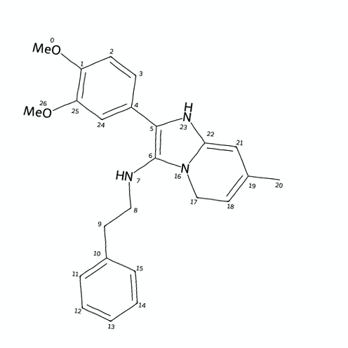 COc1ccc(C2=C(NCCc3ccccc3)N3CC=C(C)C=C3N2)cc1OC